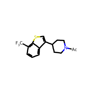 CC(=O)N1CCC(c2csc3c(C(F)(F)F)cccc23)CC1